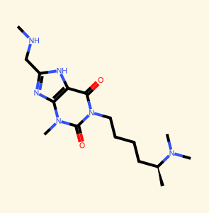 CNCc1nc2c([nH]1)c(=O)n(CCCC[C@H](C)N(C)C)c(=O)n2C